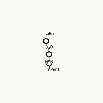 CCCCCc1cnc(-c2ccc(C(=O)Oc3ccc(CC(C)CC)cc3)cc2)nc1